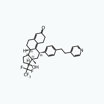 C[C@]12C[C@H](c3ccc(CCc4ccncc4)cc3)C3=C4CCC(=O)C=C4CC[C@H]3[C@@H]1CC[C@@]2(O)C(F)(F)C(F)(F)F